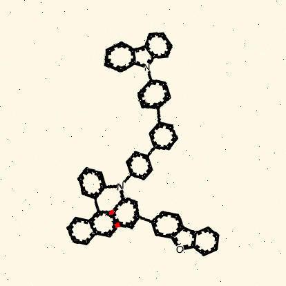 c1cc(-c2ccc(N(c3cccc(-c4ccc5c(c4)oc4ccccc45)c3)c3ccccc3-c3cccc4ccccc34)cc2)cc(-c2ccc(-n3c4ccccc4c4ccccc43)cc2)c1